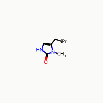 CC(C)Cc1c[nH]c(=O)n1C